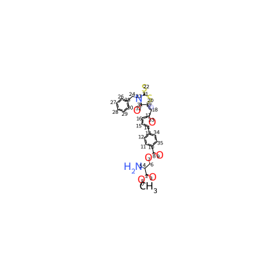 COC(=O)C(N)COC(=O)c1ccc(-c2ccc(/C=C3/SC(=S)N(Cc4ccccc4)C3=O)o2)cc1